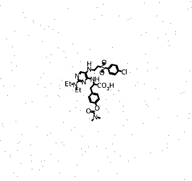 CCN(CC)c1ncc(NCCS(=O)(=O)c2ccc(Cl)cc2)c(NC(Cc2ccc(OC(=O)N(C)C)cc2)C(=O)O)n1